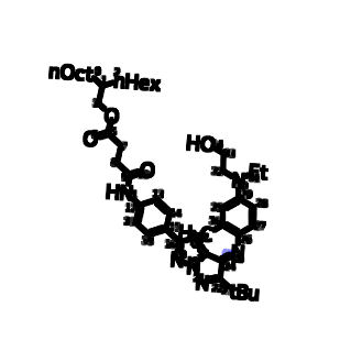 CCCCCCCCC(CCCCCC)COC(=O)CCC(=O)Nc1ccc(-c2nc3n(n2)N=C(C(C)(C)C)/C3=N/c2ccc(N(CC)CCO)cc2C)cc1